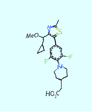 COC(c1nc(C)sc1-c1cc(F)c(N2CCC(CC(=O)O)CC2)c(F)c1)C1CC1